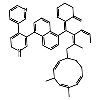 C=C1CCC=C/C1=C(C(/C=C\C)=C(/C)CC1/C=C\C(C)/C=C(C)\C=C/CC1)\c1cccc2c(C3=CNCC=C3c3cccnc3)cccc12